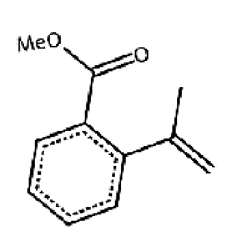 C=C(C)c1ccccc1C(=O)OC